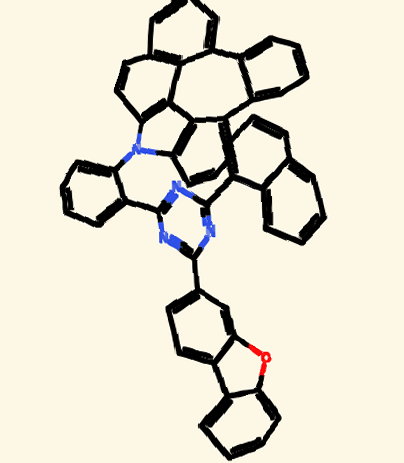 c1ccc2c(c1)-c1cccc3ccc4c(c13)c1c-2cccc1n4-c1ccccc1-c1nc(-c2ccc3c(c2)oc2ccccc23)nc(-c2cccc3ccccc23)n1